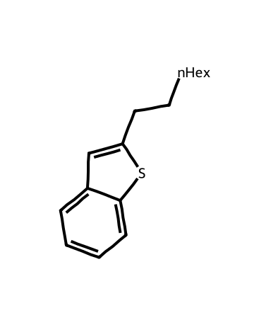 CCCCCCCCc1cc2ccccc2s1